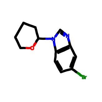 Brc1ccc2c(c1)ncn2C1CCCCO1